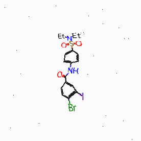 CCN(CC)S(=O)(=O)c1ccc(NC(=O)c2ccc(Br)c(I)c2)cc1